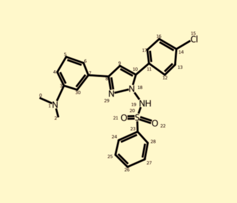 CN(C)c1cccc(-c2cc(-c3ccc(Cl)cc3)n(NS(=O)(=O)c3ccccc3)n2)c1